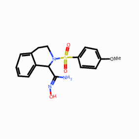 COc1ccc(S(=O)(=O)N2CCc3ccccc3C2C(N)=NO)cc1